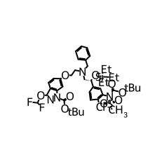 CC[Si](CC)(CC)O[C@@H](CN(CCOc1ccc2c(OC(F)F)nn(C(=O)OC(C)(C)C)c2c1)Cc1ccccc1)c1ccc(Cl)c(N(C(=O)OC(C)(C)C)S(C)(=O)=O)c1